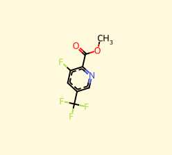 COC(=O)c1ncc(C(F)(F)F)cc1F